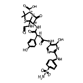 CC1(C)SC2(NC=O)[C@H](NC(=O)C(NC(=O)Nc3cnc(Nc4ccc(S(N)(=O)=O)cc4)nc3O)c3ccc(O)cc3)C(=O)N2[C@H]1C(=O)O